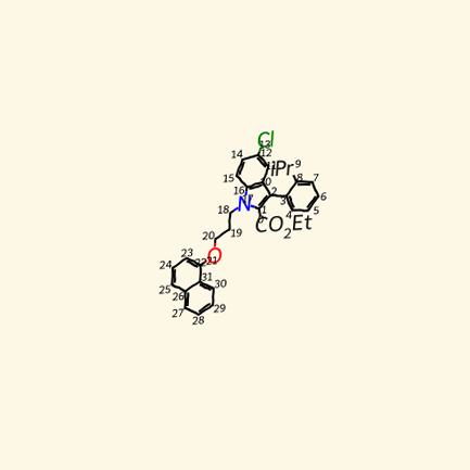 CCOC(=O)c1c(-c2ccccc2C(C)C)c2cc(Cl)ccc2n1CCCOc1cccc2ccccc12